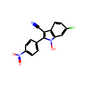 N#Cc1c(-c2ccc([N+](=O)[O-])cc2)n(O)c2cc(Cl)ccc12